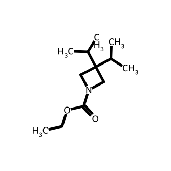 CCOC(=O)N1CC(C(C)C)(C(C)C)C1